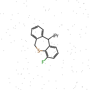 CC(C)C1c2ccccc2CSc2c(F)cccc21